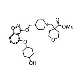 COC(=O)C1(CN2CCC(COc3noc4cccc(O[C@H]5CC[C@H](O)CC5)c34)CC2)CCOCC1